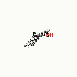 C=CCc1ccc(-c2ccc(/C=C/CCCC(C)O)c(F)c2)cc1